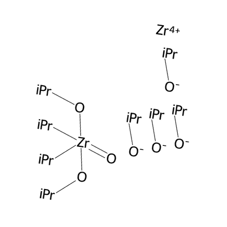 CC(C)[O-].CC(C)[O-].CC(C)[O-].CC(C)[O-].CC(C)[O][Zr](=[O])([O]C(C)C)([CH](C)C)[CH](C)C.[Zr+4]